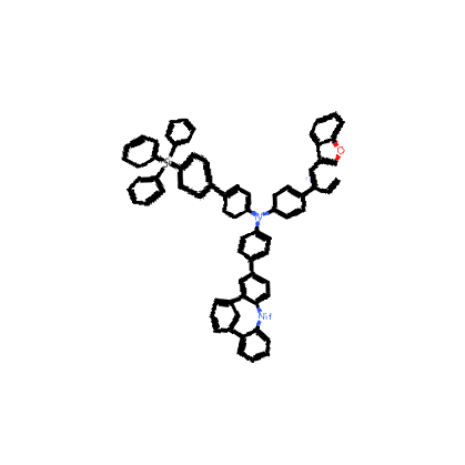 C=C/C(=C\c1coc2ccccc12)C1=CCC(N(C2=CC=C(C3=CC=C([Si](C4=CC=CCC4)(c4ccccc4)c4ccccc4)CC3)CC2)c2ccc(-c3ccc4c(c3)-c3cccc(c3)-c3ccccc3N4)cc2)C=C1